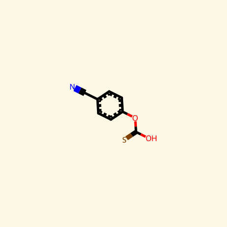 N#Cc1ccc(OC(O)=S)cc1